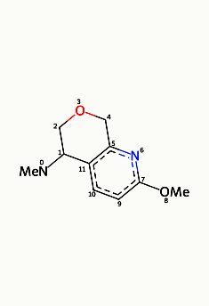 CNC1COCc2nc(OC)ccc21